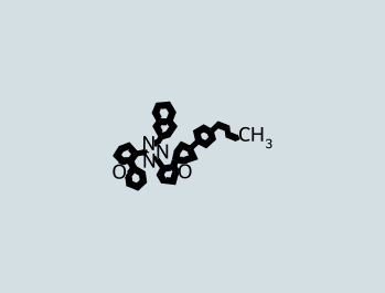 C/C=C\C=C/c1ccc(-c2ccc3c(c2)oc2cccc(-c4nc(-c5ccc6ccccc6c5)nc(-c5cccc6oc7ccccc7c56)n4)c23)cc1